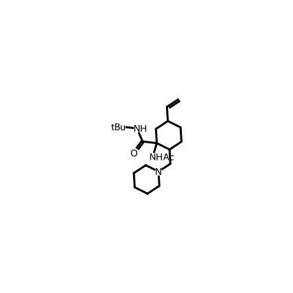 C=CC1CCC(CN2CCCCC2)C(NC(C)=O)(C(=O)NC(C)(C)C)C1